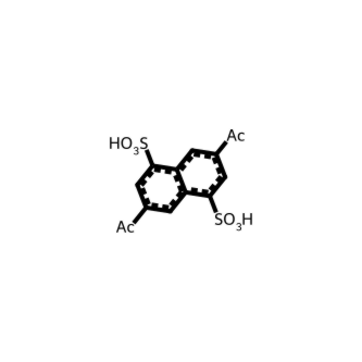 CC(=O)c1cc(S(=O)(=O)O)c2cc(C(C)=O)cc(S(=O)(=O)O)c2c1